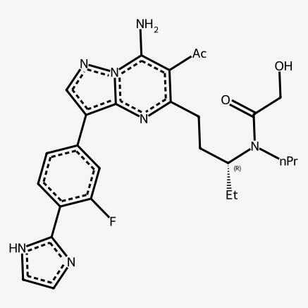 CCCN(C(=O)CO)[C@H](CC)CCc1nc2c(-c3ccc(-c4ncc[nH]4)c(F)c3)cnn2c(N)c1C(C)=O